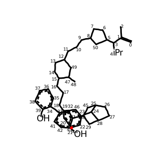 C=C(C)C(C(C)C)C1CCC(CCCC2CCC(CCCc3cccc(C4C5CCC4CC(c4cc(-c6ccccc6O)ccc4O)C5)c3)C(C)C2)C1